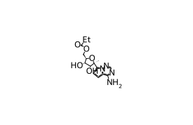 CCC(=O)OC[C@H]1O[C@@](C)(c2ccc3c(N)ncnn23)[C@H](O)[C@@H]1O